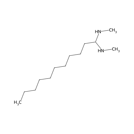 CCCCCCCCCCC(NC)NC